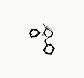 C[C@H]1OCCN(Cc2ccccc2)[C@@H]1c1ccccc1